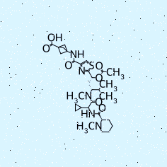 CC(=O)O[C@H](C[C@H](C(C)C)N(C)C(=O)[C@@H](NC(=O)[C@H]1CCCCN1C)C1CC1)c1nc(C(=O)NC23CC(C(=O)O)(C2)C3)cs1